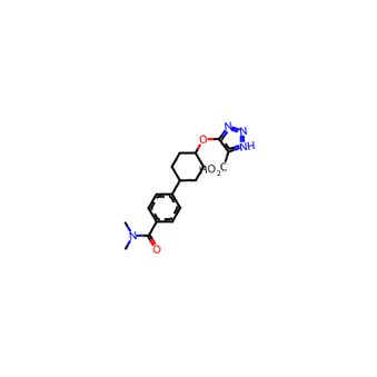 CN(C)C(=O)c1ccc(C2CCC(Oc3nn[nH]c3C(=O)O)CC2)cc1